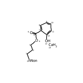 CCCCCCCCCCCCOC(=O)c1ccccc1O.[CaH2]